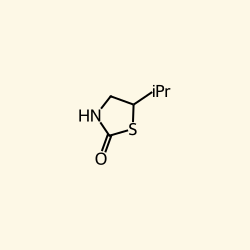 CC(C)C1CNC(=O)S1